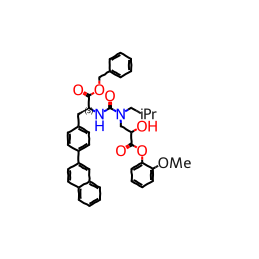 COc1ccccc1OC(=O)C(O)CN(CC(C)C)C(=O)N[C@@H](Cc1ccc(-c2ccc3ccccc3c2)cc1)C(=O)OCc1ccccc1